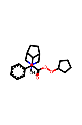 CN1CC2CCC(C1)C2C(C(=O)OOC1CCCC1)c1ccccc1